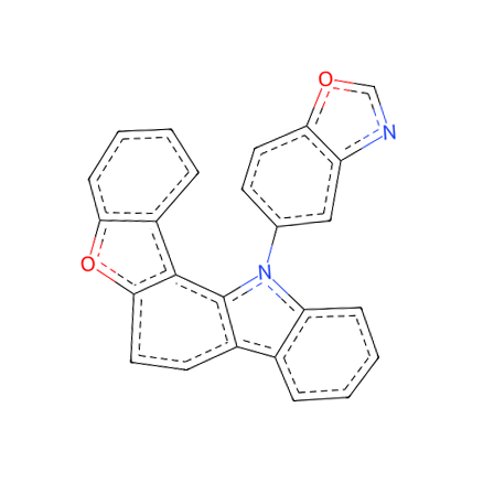 c1ccc2c(c1)oc1ccc3c4ccccc4n(-c4ccc5ocnc5c4)c3c12